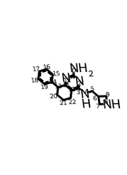 Nc1nc(NCC2CNC2)c2c(n1)C(c1ccccc1)CCC2